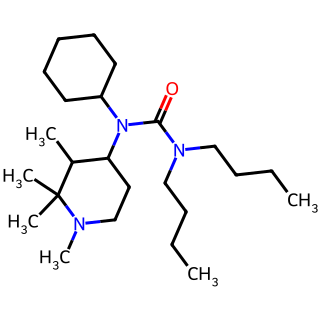 CCCCN(CCCC)C(=O)N(C1CCCCC1)C1CCN(C)C(C)(C)C1C